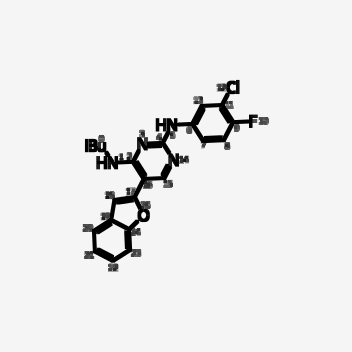 CCC(C)Nc1nc(Nc2ccc(F)c(Cl)c2)ncc1-c1cc2ccccc2o1